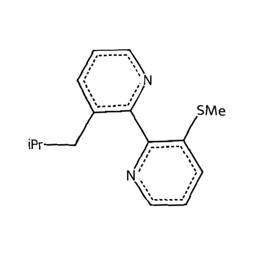 CSc1cccnc1-c1ncccc1CC(C)C